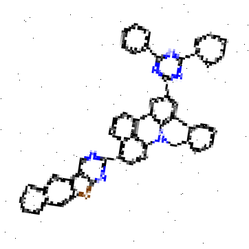 c1ccc(-c2nc(-c3ccccc3)nc(-c3cc4c5c(c3)-c3cccc6c(-c7ncc8c(n7)sc7cc9ccccc9cc78)ccc(c36)N5Cc3ccccc3-4)n2)cc1